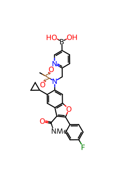 CNC(=O)c1c(-c2ccc(F)cc2)oc2cc(N(Cc3ccc(B(O)O)cn3)S(C)(=O)=O)c(C3CC3)cc12